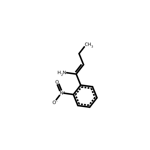 CCC=C(N)c1ccccc1[N+](=O)[O-]